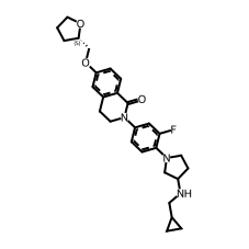 O=C1c2ccc(OC[C@@H]3CCCO3)cc2CCN1c1ccc(N2CCC(NCC3CC3)C2)c(F)c1